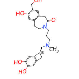 CN(CCCN1CCc2cc(O)c(CO)cc2CC1=O)C[C@H]1Cc2cc(O)c(O)cc21